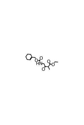 CCOC(=O)C(C)C(=O)CNC(=O)OCC1=CCCCC1